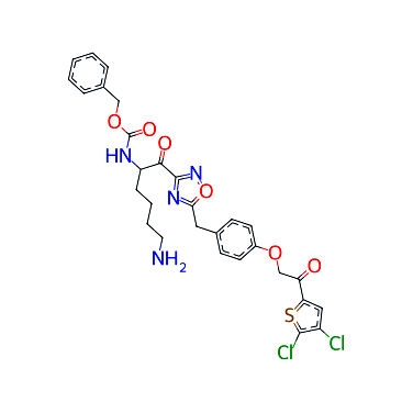 NCCCCC(NC(=O)OCc1ccccc1)C(=O)c1noc(Cc2ccc(OCC(=O)c3cc(Cl)c(Cl)s3)cc2)n1